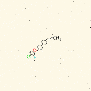 C=CCC[C@H]1CC[C@H]([C@H]2CC[C@H](COc3ccc(Cl)c(F)c3)CC2)CC1